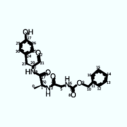 C[C@H](NC(=O)CNC(=O)OCc1ccccc1)C(=O)N[C@H](C=O)Cc1ccc(O)cc1